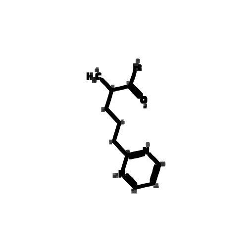 CCC(=O)C(C)CCCc1ncccn1